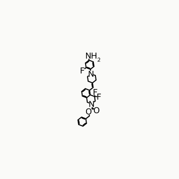 Nc1ccc(N2CCC(=Cc3cccc4c3C(F)(F)CN(C(=O)OCc3ccccc3)C4)CC2)c(F)c1